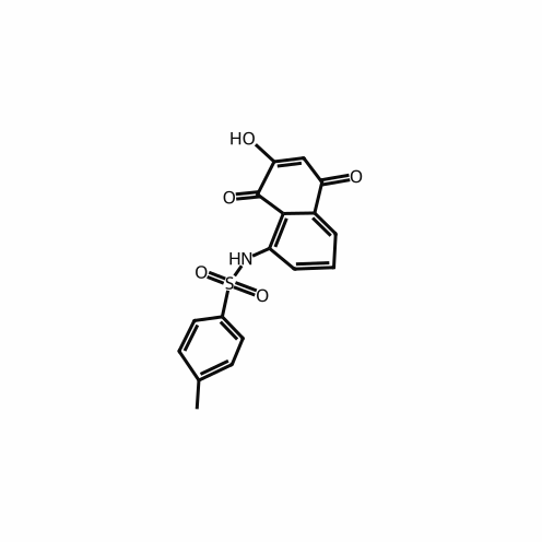 Cc1ccc(S(=O)(=O)Nc2cccc3c2C(=O)C(O)=CC3=O)cc1